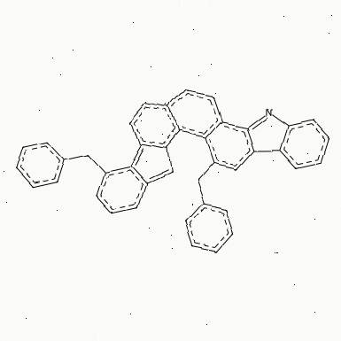 C1=c2cccc(Cc3ccccc3)c2=c2ccc3ccc4c5c(cc(Cc6ccccc6)c4c3c21)-c1ccccc1N=5